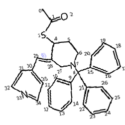 CC(=O)SC1CCN(C(c2ccccc2)(c2ccccc2)c2ccccc2)C/C1=C\c1ccncc1